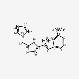 CNc1cccc2cc(C3=NCC(Cn4cncn4)S3)[nH]c12